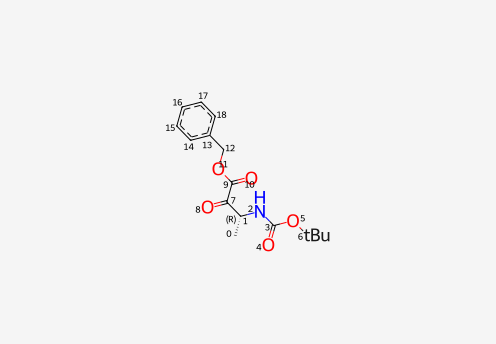 C[C@@H](NC(=O)OC(C)(C)C)C(=O)C(=O)OCc1ccccc1